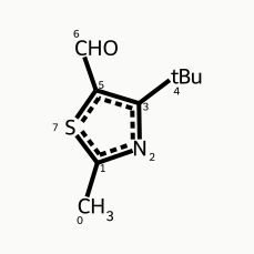 Cc1nc(C(C)(C)C)c(C=O)s1